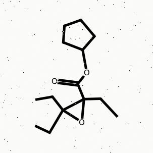 CCC1(CC)OC1(CC)C(=O)OC1CCCC1